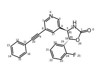 O=C1N[C@H](c2cncc(C#Cc3ccccc3)c2)[C@@H](c2ccccc2F)O1